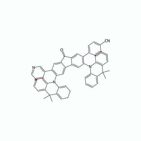 CC1(C)C2=CCCC=C2N(c2cc3c(cc2-c2cncnc2)C(=O)c2cc(-c4ccc(C#N)cc4)c(N4C5=C(C=C=C=C5)C(C)(C)c5ccccc54)cc2-3)c2ccccc21